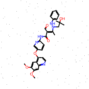 COc1cc2nccc(Oc3ccc(NC(=O)/C(C=O)=C(\C)N(CC(C)(C)O)Nc4ccccc4)nc3)c2cc1OC